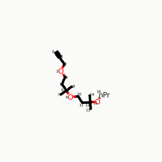 C#CCOCCC(C)(C)OCCC(C)(C)OCCC